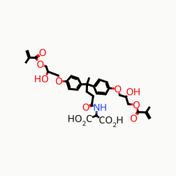 C=C(C)C(=O)OCC(O)COc1ccc(C(C)(CCC(=O)NC(C(=O)O)C(=O)O)c2ccc(OCC(O)COC(=O)C(=C)C)cc2)cc1